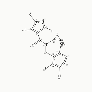 Cc1nn(C)c(F)c1C(=O)N(Cc1c(C(F)(F)F)ccc(Cl)c1F)C1CC1